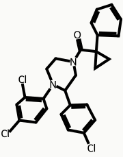 O=C(N1CCN(c2ccc(Cl)cc2Cl)C(c2ccc(Cl)cc2)C1)C1(c2ccccc2)CC1